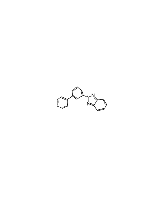 [c]1ccc(-n2nc3ccccc3n2)cc1-c1ccccc1